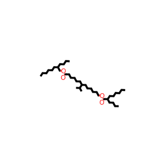 CCCCCCC(CCCC)COC(=O)CCCCCC(CCCCCCOC(=O)C(CCCC)CCCCCC)C(C)C